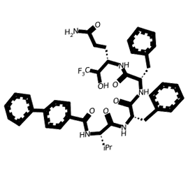 CC(C)[C@H](NC(=O)c1ccc(-c2ccccc2)cc1)C(=O)N[C@@H](Cc1ccccc1)C(=O)N[C@@H](Cc1ccccc1)C(=O)N[C@@H](CCC(N)=O)C(O)C(F)(F)F